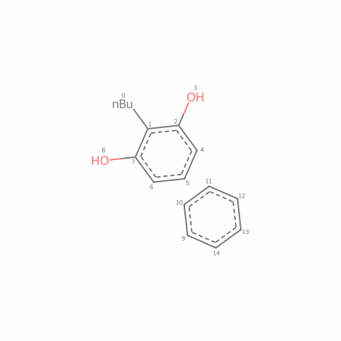 CCCCc1c(O)cccc1O.c1ccccc1